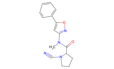 CN(C(=O)C1CCCN1C#N)c1cc(-c2ccccc2)on1